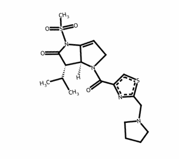 CC(C)[C@@H]1C(=O)N(S(C)(=O)=O)C2=CCN(C(=O)c3csc(CN4CCCC4)n3)[C@H]21